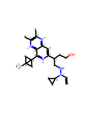 C=CN(NCC(CCO)c1cc2nc(C)c(C)nc2c(C23CC2(C(F)(F)F)C3)n1)C1CC1